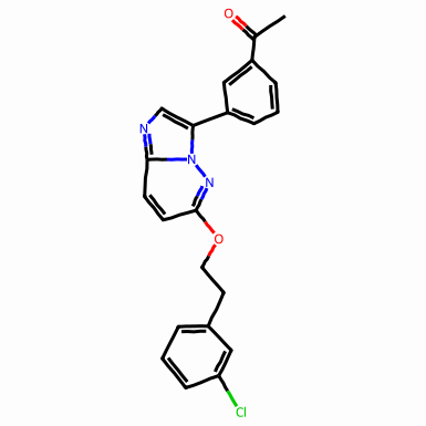 CC(=O)c1cccc(-c2cnc3ccc(OCCc4cccc(Cl)c4)nn23)c1